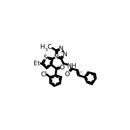 CCc1cc(C(=O)c2ccccc2Cl)c(-n2c(C)nnc2CNC(=O)/C=C/c2ccccc2)s1